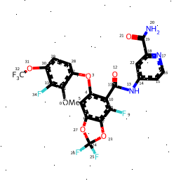 COc1c(Oc2cc3c(c(F)c2C(=O)Nc2ccnc(C(N)=O)c2)OC(F)(F)O3)ccc(OC(F)(F)F)c1F